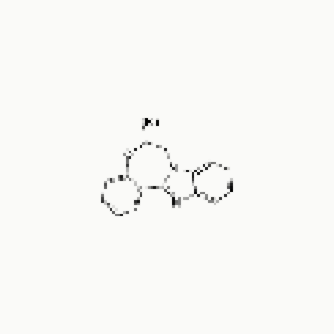 CC(C)(C)C1Cn2c(nc3ccccc32)-c2ccccc2O1